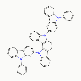 c1ccc(-n2c3ccccc3c3cc(-n4c5ccccc5c5c4ccc4c6ccccc6n(-c6ccc7c8ccccc8n(-c8ccccc8)c7c6)c45)ccc32)cc1